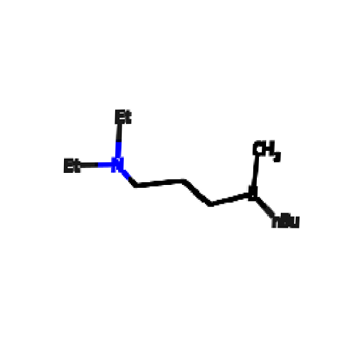 CCCCB(C)CCCN(CC)CC